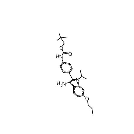 CCCOc1ccc2c(N)c(-c3ccc(NC(=O)OCC(C)(C)C)cc3)n(C(C)C)c2c1